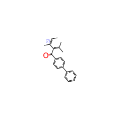 C/C=C(/C)C(C(=O)c1ccc(-c2ccccc2)cc1)=C(C)C